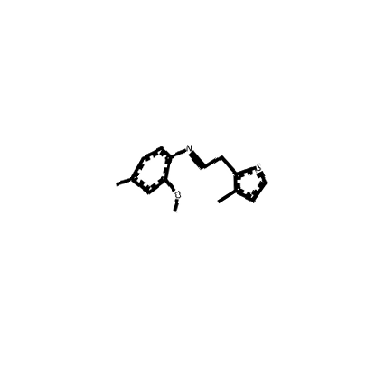 COc1cc(C)ccc1N=CCc1sccc1C